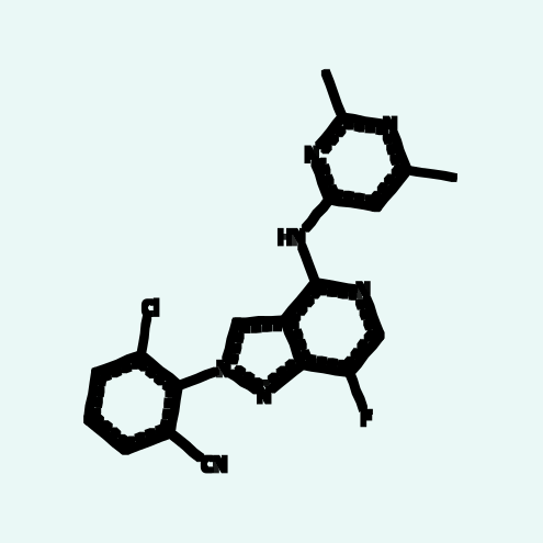 Cc1cc(Nc2ncc(F)c3nn(-c4c(Cl)cccc4C#N)cc23)nc(C)n1